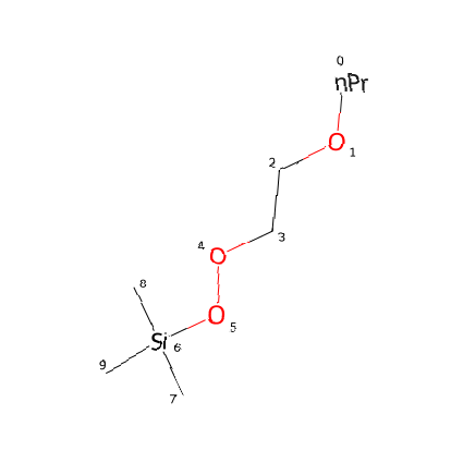 CCCOCCOO[Si](C)(C)C